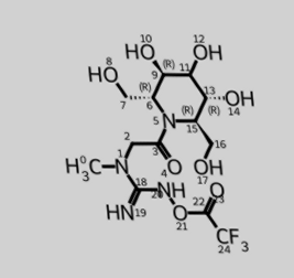 CN(CC(=O)N1[C@H](CO)[C@@H](O)C(O)[C@H](O)[C@H]1CO)C(=N)NOC(=O)C(F)(F)F